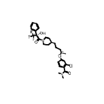 C[C@H](CCCC1CCN(C(=O)[C@](O)(c2ccccc2)C(F)(F)F)CC1)Oc1ccc(C(=O)N(C)C)c(Cl)c1